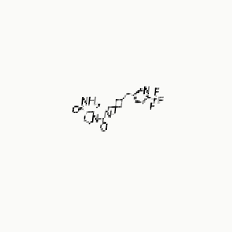 NC(=O)[C@H]1CCN(C(=O)N2CC3(CC(Cc4ccc(C(F)(F)F)nc4)C3)C2)C1